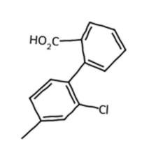 Cc1ccc(-c2ccccc2C(=O)O)c(Cl)c1